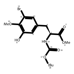 COC(=O)[C@H](Cc1cc(O)c(OC)c(Br)c1)NC(=O)OC(C)(C)C